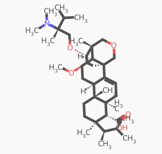 CO[C@@H]1C[C@@]23COC[C@](C)([C@@H]2CC[C@H]2C3=CC[C@@]3(C)[C@H](C(=O)O)[C@@](C)([C@H](C)C(C)C)CC[C@]23C)[C@H]1OC[C@@](C)(C(C)C)N(C)C